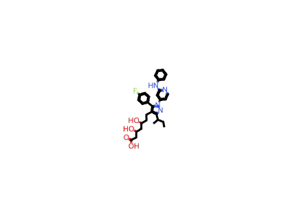 CCC(C)c1nn(-c2ccnc(Nc3ccccc3)c2)c(-c2ccc(F)cc2)c1CCC(O)CC(O)CC(=O)O